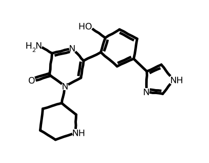 Nc1nc(-c2cc(-c3c[nH]cn3)ccc2O)cn(C2CCCNC2)c1=O